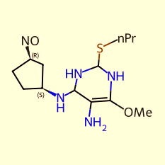 CCCSC1NC(OC)=C(N)C(N[C@H]2CC[C@@H](N=O)C2)N1